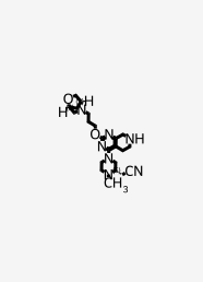 CN1CCN(c2nc(OCCCN3C[C@@H]4C[C@H]3CO4)nc3c2CCNC3)C[C@@H]1CC#N